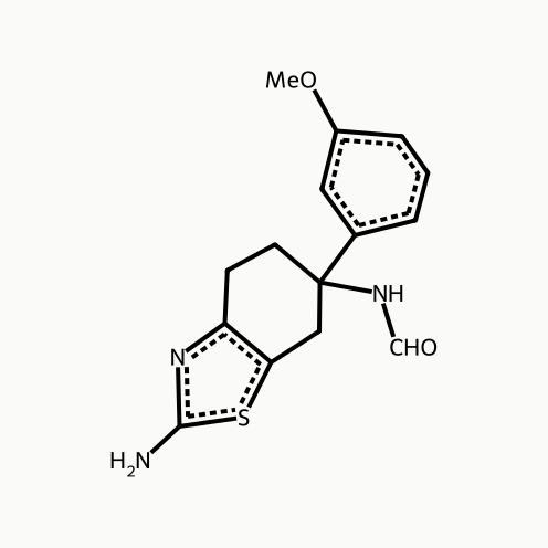 COc1cccc(C2(NC=O)CCc3nc(N)sc3C2)c1